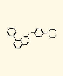 c1ccc(-c2cccc3cnc(Nc4ccc(N5CCOCC5)cc4)nc23)cc1